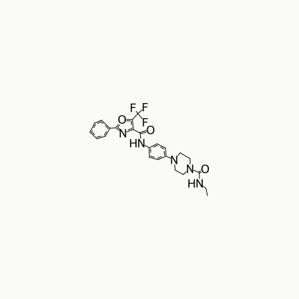 CCNC(=O)N1CCN(c2ccc(NC(=O)c3nc(-c4ccccc4)oc3C(F)(F)F)cc2)CC1